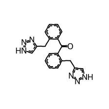 O=C(c1ccccc1Cc1c[nH]nn1)c1ccccc1Cc1c[nH]nn1